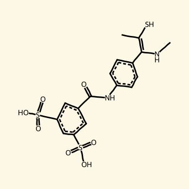 CN/C(=C(/C)S)c1ccc(NC(=O)c2cc(S(=O)(=O)O)cc(S(=O)(=O)O)c2)cc1